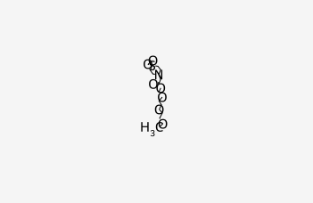 COCCOCCOCOC(=O)CN1CCS(=O)(=O)CC1